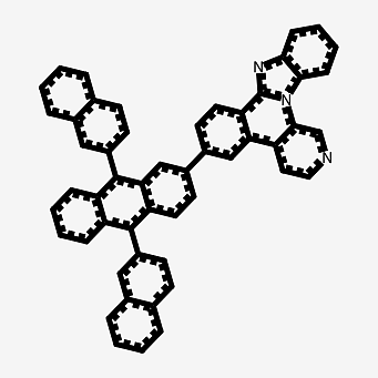 c1ccc2cc(-c3c4ccccc4c(-c4ccc5ccccc5c4)c4cc(-c5ccc6c(c5)c5ccncc5n5c7ccccc7nc65)ccc34)ccc2c1